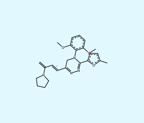 C=C(/C=C/C1=NN=C(c2ccc(C)o2)N(c2c(OC)cccc2OC)C1)N1CCCC1